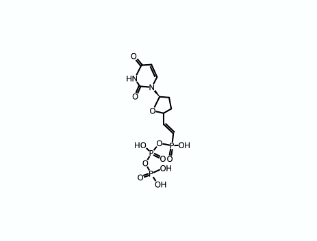 O=c1ccn([C@H]2CCC(/C=C/P(=O)(O)OP(=O)(O)OP(=O)(O)O)O2)c(=O)[nH]1